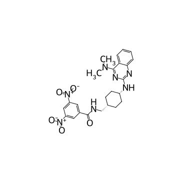 CN(C)c1nc(N[C@H]2CC[C@@H](CNC(=O)c3cc([N+](=O)[O-])cc([N+](=O)[O-])c3)CC2)nc2ccccc12